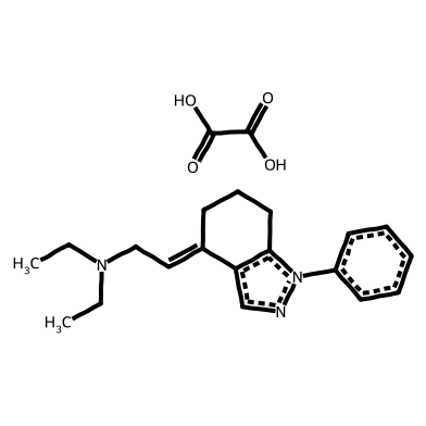 CCN(CC)CC=C1CCCc2c1cnn2-c1ccccc1.O=C(O)C(=O)O